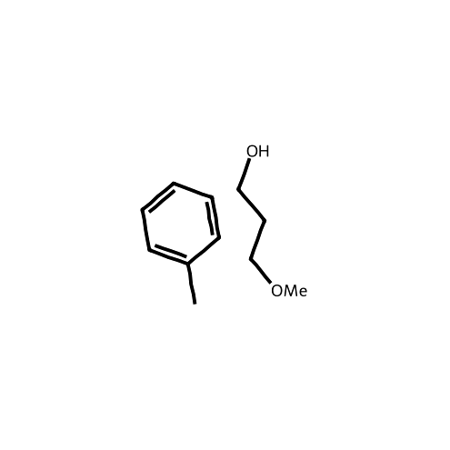 COCCCO.Cc1ccccc1